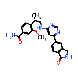 COc1cc(C(N)=O)ccc1[C@H](C)CNc1cc(-c2ccc3c(c2)CNC3=O)ncn1